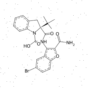 CC(C)(C)[C@]1(C(=O)Nc2c(C(N)=O)oc3ccc(Br)cc23)Cc2ccccc2N1C(=O)O